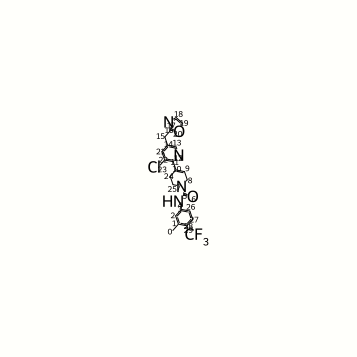 Cc1cc(NC(=O)N2CC=C(c3ncc(Cc4ncco4)cc3Cl)CC2)ccc1C(F)(F)F